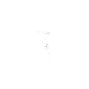 Nc1cc[n+](N)c(SC/C=C/C2=C(C(=O)O)N3C(=O)[C@@H](NC(=O)CSc4cc(Cl)ccc4Cl)[C@H]3SC2)n1